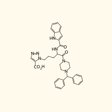 O=C(NC(CCCn1nncc1C(=O)O)C(=O)N1CCN(C(c2ccccc2)c2ccccc2)CC1)c1cc2ccccc2[nH]1